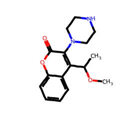 COC(C)c1c(N2CCNCC2)c(=O)oc2ccccc12